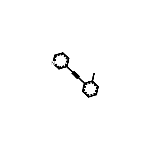 Cc1ccccc1C#Cc1cccnc1